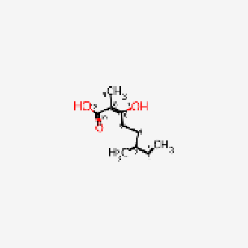 CCC(C)CCC(O)=C(C)C(=O)O